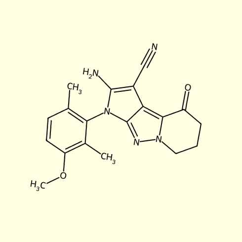 COc1ccc(C)c(-n2c(N)c(C#N)c3c4n(nc32)CCCC4=O)c1C